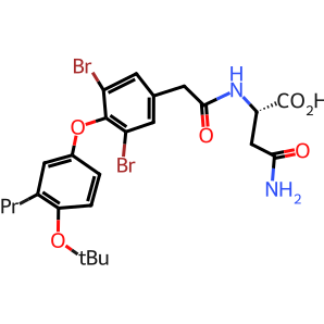 CC(C)c1cc(Oc2c(Br)cc(CC(=O)N[C@@H](CC(N)=O)C(=O)O)cc2Br)ccc1OC(C)(C)C